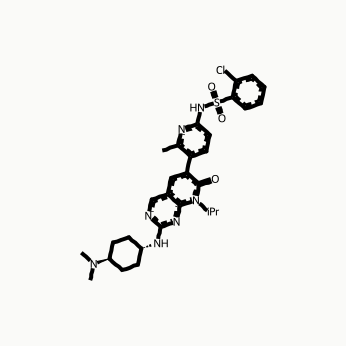 Cc1nc(NS(=O)(=O)c2ccccc2Cl)ccc1-c1cc2cnc(N[C@H]3CC[C@H](N(C)C)CC3)nc2n(C(C)C)c1=O